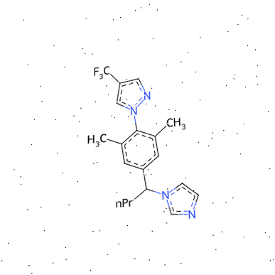 CCCC(c1cc(C)c(-n2cc(C(F)(F)F)cn2)c(C)c1)n1ccnc1